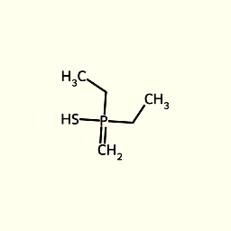 C=P(S)(CC)CC